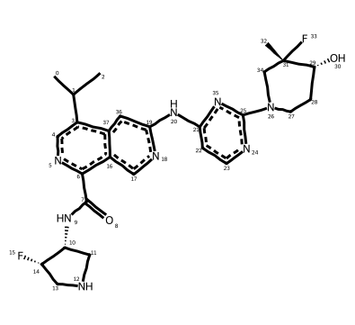 CC(C)c1cnc(C(=O)N[C@@H]2CNC[C@@H]2F)c2cnc(Nc3ccnc(N4CC[C@@H](O)[C@@](C)(F)C4)n3)cc12